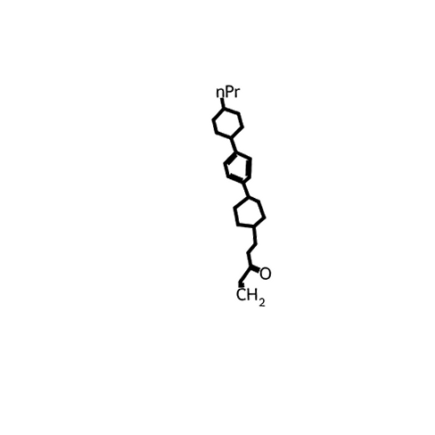 C=CC(=O)CCC1CCC(c2ccc(C3CCC(CCC)CC3)cc2)CC1